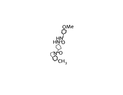 COc1ccc(CNC(=O)NC2CCC(C(=O)N3CCCc4ccc(C)cc43)CC2)cc1